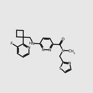 CN(Cc1nccs1)C(=O)c1ccc(NCC2(c3ncccc3F)CCC2)nn1